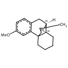 COc1ccc2c(c1)C13CCCC[C@@H]1[C@H](C2)C(C)CC3